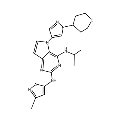 Cc1cc(Nc2nc(NC(C)C)c3c(ccn3-c3cnn(C4CCOCC4)c3)n2)sn1